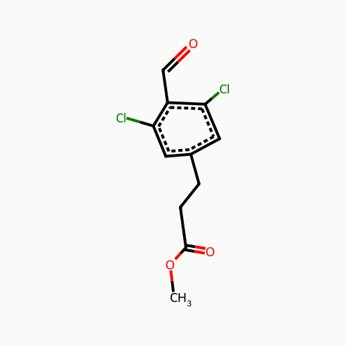 COC(=O)CCc1cc(Cl)c(C=O)c(Cl)c1